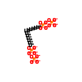 O=P([O-])([O-])[O-].O=P([O-])([O-])[O-].O=P([O-])([O-])[O-].O=P([O-])([O-])[O-].[Li+].[Li+].[Li+].[Li+].[Li+].[Li+].[Li+].[Li+].[Li+].[Li+].[Li+].[Li+]